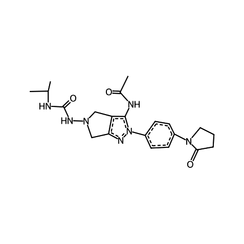 CC(=O)Nc1c2c(nn1-c1ccc(N3CCCC3=O)cc1)CN(NC(=O)NC(C)C)C2